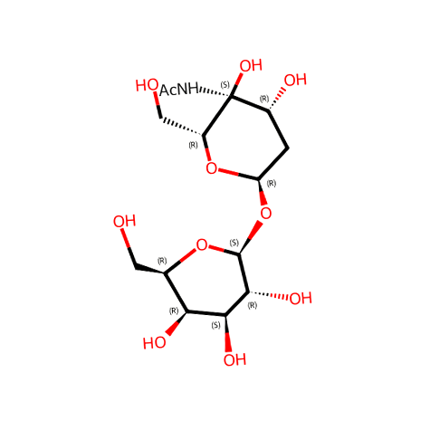 CC(=O)N[C@]1(O)[C@H](O)C[C@@H](O[C@@H]2O[C@H](CO)[C@H](O)[C@H](O)[C@H]2O)O[C@@H]1CO